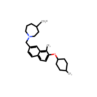 O=C(O)C1CCCN(Cc2ccc3ccc(OC4CCC(C(F)(F)F)CC4)c(C(F)(F)F)c3c2)CC1